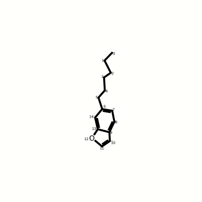 CCCCCCc1ccc2[c]coc2c1